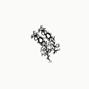 CC(C)NC(=O)NSc1nc2ccc(OC(F)(F)F)cc2s1.CCCNC(=O)NSc1nc2ccc(OC(F)(F)F)cc2s1